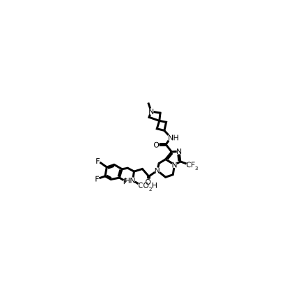 CN1CC2(CC(NC(=O)c3nc(C(F)(F)F)n4c3CN(C(=O)CC(Cc3cc(F)c(F)cc3F)NC(=O)O)CC4)C2)C1